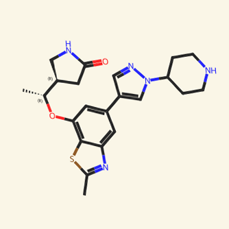 Cc1nc2cc(-c3cnn(C4CCNCC4)c3)cc(O[C@H](C)[C@H]3CNC(=O)C3)c2s1